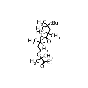 CCC(=O)C(C)(C)OCCC(C)(C)OC(=O)C(C)(C)CC(C)(C)C(C)(C)C